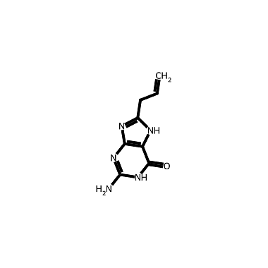 C=CCc1nc2nc(N)[nH]c(=O)c2[nH]1